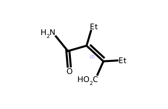 CC/C(C(N)=O)=C(\CC)C(=O)O